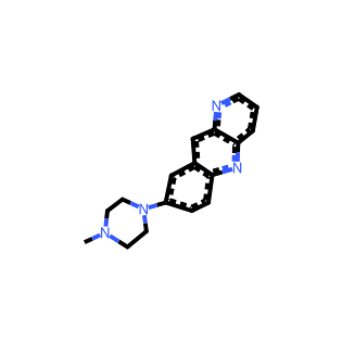 CN1CCN(c2ccc3nc4cccnc4cc3c2)CC1